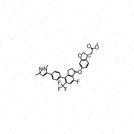 COC(=O)C[C@@H]1COc2cc(O[C@@H]3CCc4c(-c5ccc(-c6cc(C)nn6C)cc5)c(C(F)(F)F)cc(F)c43)ccc21